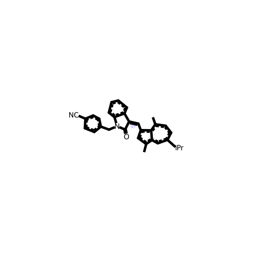 Cc1cc(/C=C2\C(=O)N(Cc3ccc(C#N)cc3)c3ccccc32)c2c(C)ccc(C(C)C)cc1-2